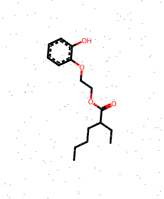 CCCCC(CC)C(=O)OCCOc1ccccc1O